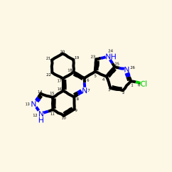 Clc1ccc2c(-c3nc4ccc5[nH]ncc5c4c4c3CCCC4)c[nH]c2n1